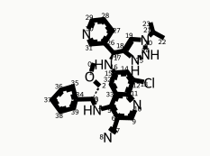 COC[C@H](Nc1c(C#N)cnc2c(Cl)cc(N[C@H](C3=CN(C(C)C)NN3)c3cccnc3)cc12)c1ccccc1